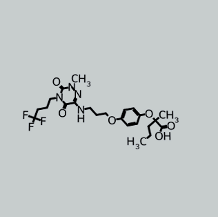 CCCC(C)(Oc1ccc(OCCCNc2nn(C)c(=O)n(CCCC(F)(F)F)c2=O)cc1)C(=O)O